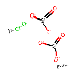 O=[Si]([O-])[O-].O=[Si]([O-])[O-].[Cl-].[Cl-].[Er+3].[Y+3]